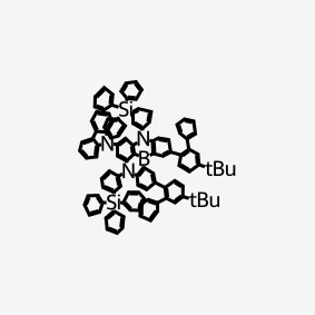 CC(C)(C)c1ccc(-c2ccc3c(c2)B2c4cc(-c5ccc(C(C)(C)C)cc5-c5ccccc5)ccc4N(c4cccc([Si](c5ccccc5)(c5ccccc5)c5ccccc5)c4)c4cc(-n5c6ccccc6c6ccccc65)cc(c42)N3c2cccc([Si](c3ccccc3)(c3ccccc3)c3ccccc3)c2)c(-c2ccccc2)c1